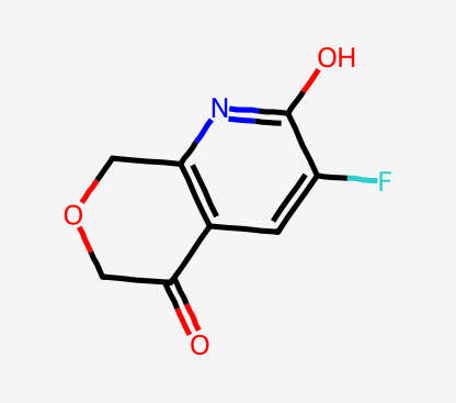 O=C1COCc2nc(O)c(F)cc21